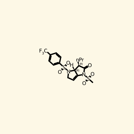 CCC[C@H]1C(=O)N(S(C)(=O)=O)C2=CCN(S(=O)(=O)c3ccc(C(F)(F)F)cc3)[C@@H]21